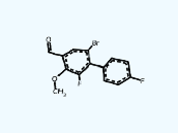 COc1c(C=O)cc(Br)c(-c2ccc(F)cc2)c1F